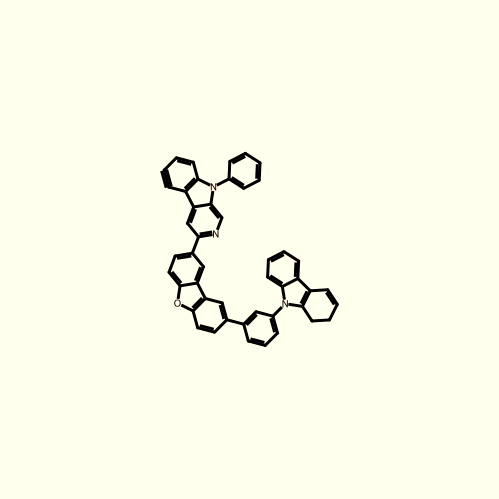 c1ccc2c(c#1)c1cc(-c3ccc4oc5ccc(-c6cccc(-n7c8c(c9ccccc97)C=CCC8)c6)cc5c4c3)ncc1n2-c1ccccc1